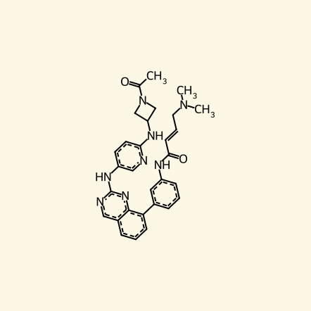 CC(=O)N1CC(Nc2ccc(Nc3ncc4cccc(-c5cccc(NC(=O)C=CCN(C)C)c5)c4n3)cn2)C1